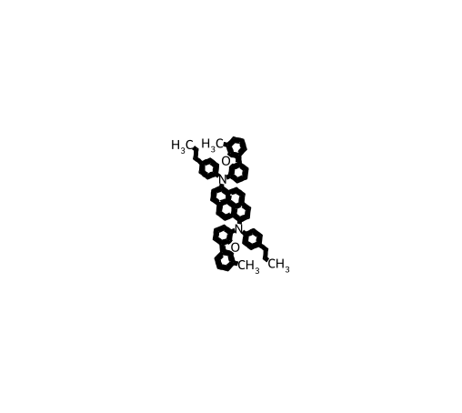 CCCc1ccc(N(c2ccc3ccc4c(N(c5ccc(CCC)cc5)c5cccc6c5oc5c(C)cccc56)ccc5ccc2c3c54)c2cccc3c2oc2c(C)cccc23)cc1